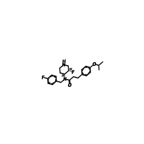 CC(C)Oc1ccc(CCC(=O)N(Cc2ccc(F)cc2)[C@@H]2CCNC[C@@H]2F)cc1